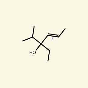 C/C=C/C(O)(CC)C(C)C